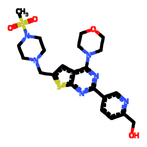 CS(=O)(=O)N1CCN(Cc2cc3c(N4CCOCC4)nc(-c4ccc(CO)nc4)nc3s2)CC1